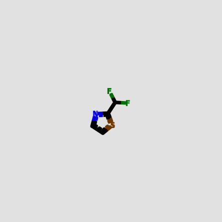 FC(F)c1nccs1